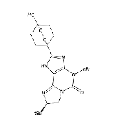 CCCN1C(=O)N2C[C@@H](C(C)(C)C)N=C2c2[nH]c(C34CCC(O)(CC3)CC4)nc21